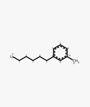 [Li][CH2]CCCCc1cccc(C)c1